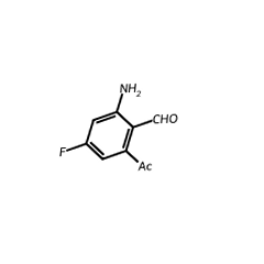 CC(=O)c1cc(F)cc(N)c1C=O